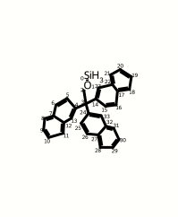 [SiH3]OCC(c1ccc2ccccc2c1)(c1ccc2ccccc2c1)c1ccc2ccccc2c1